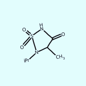 CC(C)N1C(C)C(=O)NS1(=O)=O